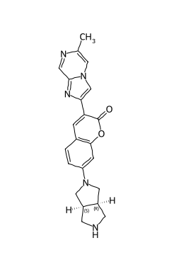 Cc1cn2cc(-c3cc4ccc(N5C[C@H]6CNC[C@H]6C5)cc4oc3=O)nc2cn1